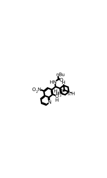 CCCCC(=O)NC(C1=CC[C@H]2C[C@@H]1C2(C)C)c1cc([N+](=O)[O-])c2cccnc2c1O